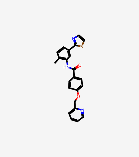 Cc1ccc(-c2nccs2)cc1NC(=O)c1ccc(OCc2ccccn2)cc1